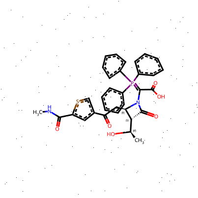 CNC(=O)c1cc(C(=O)C[C@@H]2[C@@H]([C@@H](C)O)C(=O)N2C(C(=O)O)=P(c2ccccc2)(c2ccccc2)c2ccccc2)cs1